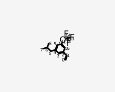 C=[C]c1cc(CC(C)C)cc(OC(F)(F)F)c1